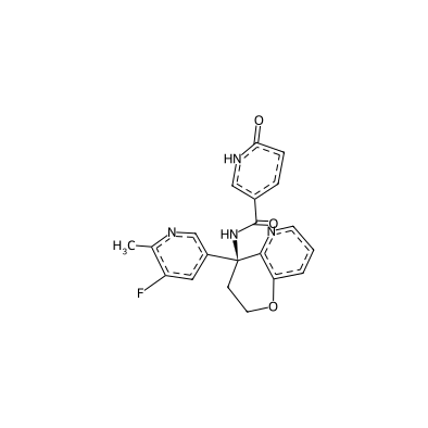 Cc1ncc([C@@]2(NC(=O)c3ccc(=O)[nH]c3)CCOc3cccnc32)cc1F